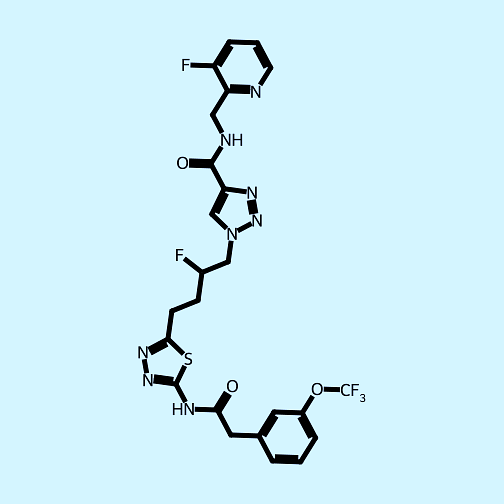 O=C(Cc1cccc(OC(F)(F)F)c1)Nc1nnc(CCC(F)Cn2cc(C(=O)NCc3ncccc3F)nn2)s1